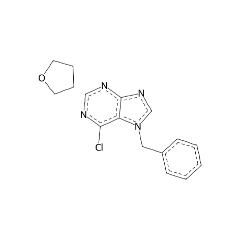 C1CCOC1.Clc1ncnc2ncn(Cc3ccccc3)c12